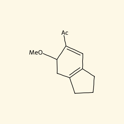 COC1CC2=C(C=C1C(C)=O)CCC2